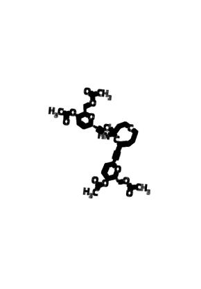 CC(=O)OC[C@H]1O[C@H](C#CNC2(Cl)CCCCC/C=C(/C#C[C@@H]3C=C[C@H](OC(C)=O)[C@@H](COC(C)=O)O3)C2)C=C[C@@H]1OC(C)=O